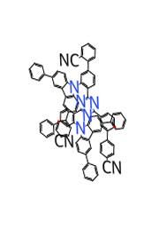 N#Cc1ccc(-c2cccc(-c3nc(-c4ccc(-c5ccccc5C#N)cc4-n4c5ccc(-c6ccccc6)cc5c5cc(-c6ccccc6)ccc54)nc(-c4ccc(-c5ccccc5C#N)cc4-n4c5ccc(-c6ccccc6)cc5c5cc(-c6ccccc6)ccc54)n3)c2)cc1